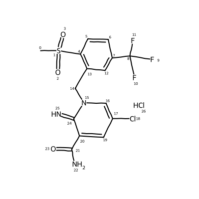 CS(=O)(=O)c1ccc(C(F)(F)F)cc1Cn1cc(Cl)cc(C(N)=O)c1=N.Cl